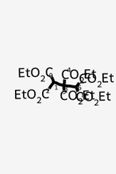 CCOC(=O)C(C(=O)OCC)C(C(=O)OCC)(C(=O)OCC)C(C(=O)OCC)C(=O)OCC